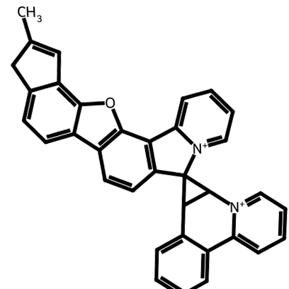 CC1=Cc2c(ccc3c2oc2c4c(ccc23)C2(C3c5ccccc5-c5cccc[n+]5C32)[n+]2ccccc2-4)C1